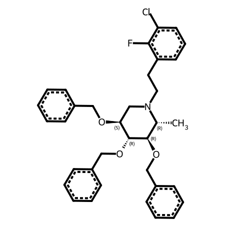 C[C@@H]1[C@@H](OCc2ccccc2)[C@H](OCc2ccccc2)[C@@H](OCc2ccccc2)CN1CCc1cccc(Cl)c1F